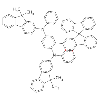 CC1(C)c2ccccc2-c2ccc(N(c3ccccc3)c3ccc(N(c4ccccc4)c4ccc5c(c4)C(C)(C)c4ccccc4-5)c(-c4ccc5c(c4)C4(c6ccccc6-c6ccccc64)c4ccccc4-5)c3)cc21